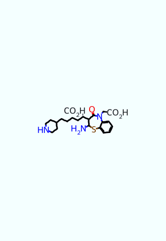 NC1Sc2ccccc2N(CC(=O)O)C(=O)C1[C@H](CCCCC1CCNCC1)C(=O)O